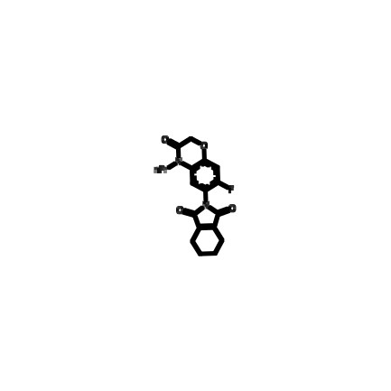 CCCN1C(=O)COc2cc(F)c(N3C(=O)C4=C(CCCC4)C3=O)cc21